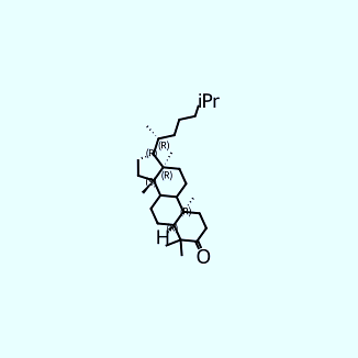 CC(C)CCC[C@@H](C)[C@H]1CC[C@@]2(C)C3CC[C@H]4C(C)(C)C(=O)CC[C@]4(C)C3CC[C@]12C